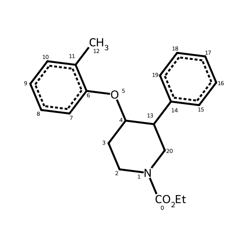 CCOC(=O)N1CCC(Oc2ccccc2C)C(c2ccccc2)C1